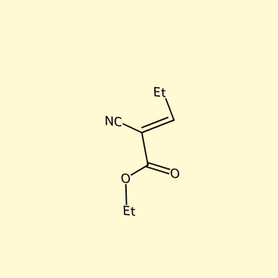 CC/C=C(\C#N)C(=O)OCC